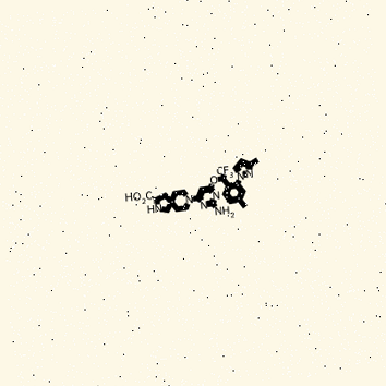 Cc1ccc(C(Oc2cc(N3CCC4(CC3)CN[C@H](C(=O)O)C4)nc(N)n2)C(F)(F)F)c(-n2ccc(C)n2)c1